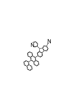 N#Cc1ccc2c(c1)C(c1cccnc1)c1cc(-c3c4ccccc4c(-c4cccc5ccccc45)c4ccccc34)ccc1-2